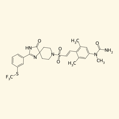 Cc1cc(N(C)C(N)=O)cc(C)c1/C=C/S(=O)(=O)N1CCC2(CC1)N=C(c1cccc(SC(F)(F)F)c1)NC2=O